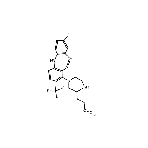 COCCC1CN(c2c(C(F)(F)F)ccc3c2C=Nc2cc(F)ccc2N3)CCN1